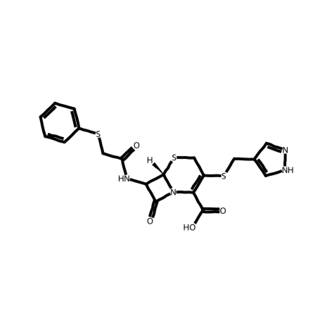 O=C(CSc1ccccc1)NC1C(=O)N2C(C(=O)O)=C(SCc3cn[nH]c3)CS[C@@H]12